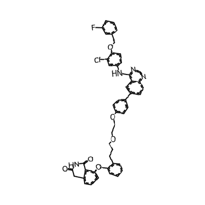 O=C1Cc2cccc(Oc3ccccc3CCCOCCOc3ccc(-c4ccc5ncnc(Nc6ccc(OCc7cccc(F)c7)c(Cl)c6)c5c4)cc3)c2C(=O)N1